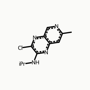 Cc1cc2nc(NC(C)C)c(Cl)nc2cn1